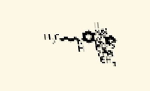 CCCCCNc1ccc(NS(=O)(=O)c2ccsc2OC(=O)OC)c(OC)c1